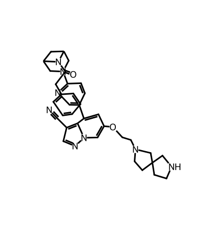 N#Cc1cnn2cc(OCCN3CCC4(CCNC4)C3)cc(-c3ccc(N4CC5CC(C4)N5C(=O)Cc4ccccc4)nc3)c12